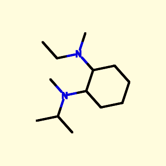 CCN(C)C1CCCCC1N(C)C(C)C